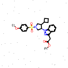 CCOc1ccc(S(=O)(=O)N2CC(C3CCC3)[C@@H](n3nc(CC(=O)OC(C)C)c4ccccc43)C2)cc1